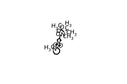 COC(=O)[C@H](C(C)C)N(C)C(=O)C1CN(S(=O)(=O)[C@@H]2CCCCCN2C)C1